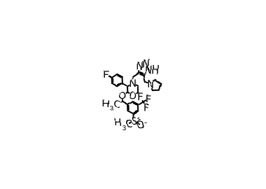 C[C@@H](OC1OCCN(Cc2nn[nH]c2CN2CCCC2)C1c1ccc(F)cc1)c1cc([S+](C)[O-])cc(C(F)(F)F)c1